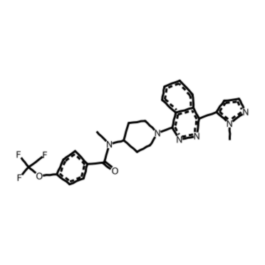 CN(C(=O)c1ccc(OC(F)(F)F)cc1)C1CCN(c2nnc(-c3ccnn3C)c3ccccc23)CC1